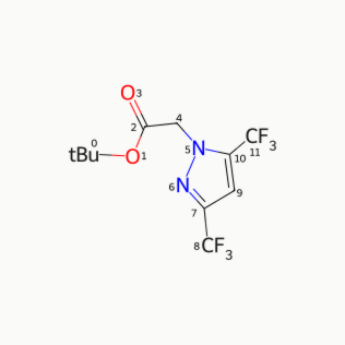 CC(C)(C)OC(=O)Cn1nc(C(F)(F)F)cc1C(F)(F)F